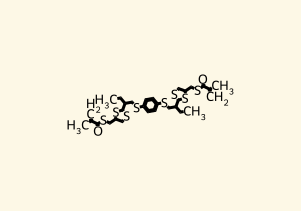 C=C(C)C(=O)SCC1CSC(C(CC)CSc2ccc(SCC(CC)C3SCC(CSC(=O)C(=C)C)S3)cc2)S1